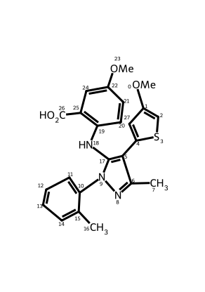 COc1csc(-c2c(C)nn(-c3ccccc3C)c2Nc2ccc(OC)cc2C(=O)O)c1